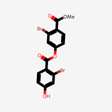 COC(=O)c1ccc(OC(=O)c2ccc(O)cc2Br)cc1Br